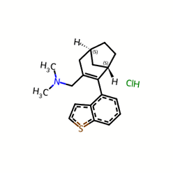 CN(C)CC1=C(c2cccc3sccc23)[C@H]2CC[C@H](C1)C2.Cl